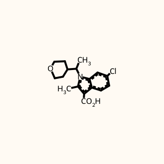 Cc1c(C(=O)O)c2ccc(Cl)cc2n1C(C)C1CCOCC1